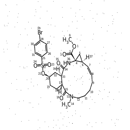 COC(=O)[C@@]12C[C@H]1C=CCCCCN(C)C(=O)[C@@H]1CC[C@@H](OS(=O)(=O)c3ccc(Br)cc3)C[C@H]1C(=O)N2